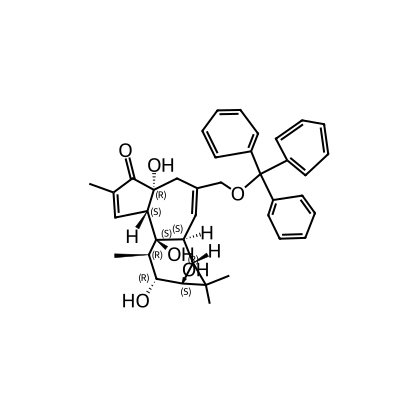 CC1=C[C@H]2[C@@]3(O)[C@H](C)[C@@H](O)[C@]4(O)[C@H]([C@@H]3C=C(COC(c3ccccc3)(c3ccccc3)c3ccccc3)C[C@]2(O)C1=O)C4(C)C